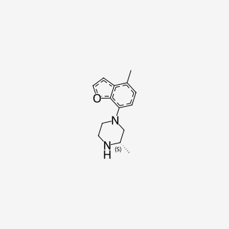 Cc1ccc(N2CCN[C@@H](C)C2)c2occc12